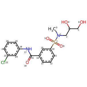 CN(CC(O)CO)S(=O)(=O)c1cccc(C(=O)Nc2cccc(Cl)c2)c1